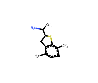 Cc1ccc(C)c2c1CC(C(C)N)S2